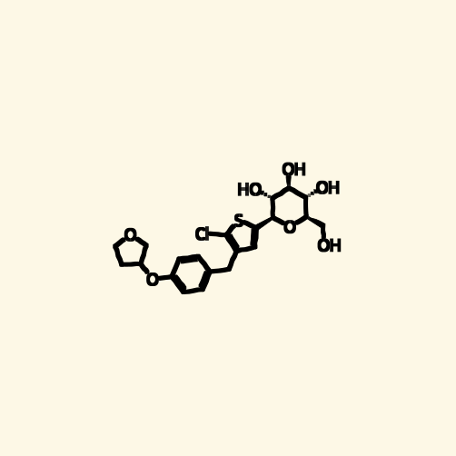 OC[C@H]1O[C@@H](c2cc(Cc3ccc(OC4CCOC4)cc3)c(Cl)s2)[C@H](O)[C@@H](O)[C@@H]1O